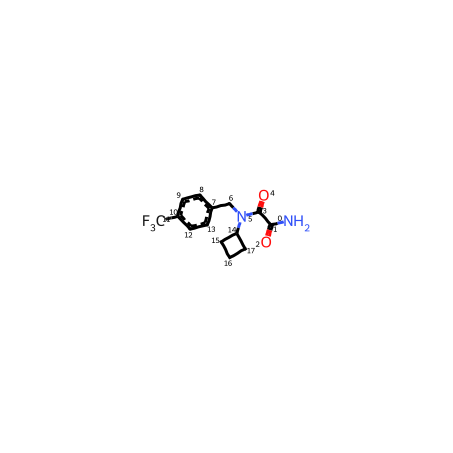 NC(=O)C(=O)N(Cc1ccc(C(F)(F)F)cc1)C1CCC1